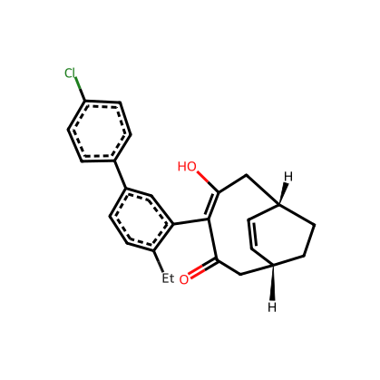 CCc1ccc(-c2ccc(Cl)cc2)cc1/C1=C(\O)C[C@H]2C=C[C@H](CC2)CC1=O